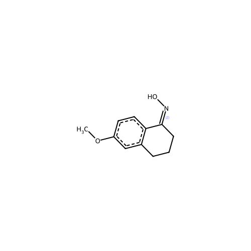 COc1ccc2c(c1)CCC/C2=N/O